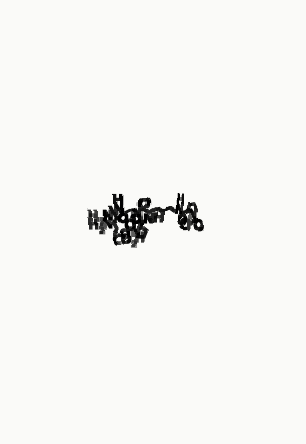 CC(N)(NCCNC(=O)C(CCCCNC(=O)C1CCCN1C(=O)Cl)NC(=O)C1CCCN1C(=O)Cl)C(=O)C(N)CCC(=O)O